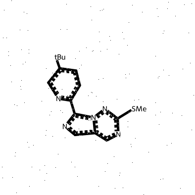 CSc1ncc2cnc(-c3ccc(C(C)(C)C)cn3)n2n1